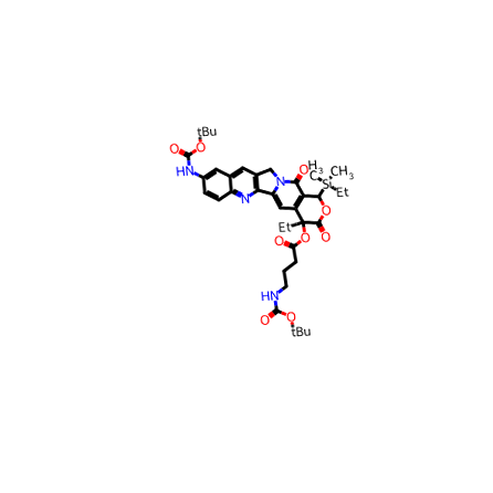 CCC1(OC(=O)CCCNC(=O)OC(C)(C)C)C(=O)OC([Si](C)(C)CC)c2c1cc1n(c2=O)Cc2cc3cc(NC(=O)OC(C)(C)C)ccc3nc2-1